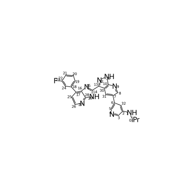 CC(C)Nc1cncc(-c2cnc3[nH]nc(-c4nc5c(-c6cccc(F)c6)ccnc5[nH]4)c3c2)c1